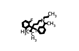 CCCN(CCCC(C#N)(c1c(F)cccc1F)C(C)C)C(C)c1ccccc1